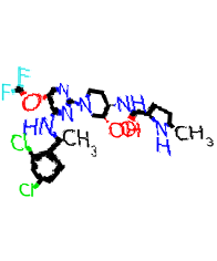 CC1CCC(C(=O)N[C@H]2CCN(c3ncc(OC(F)F)c(N[C@H](C)c4ccc(Cl)cc4Cl)n3)C[C@@H]2O)N1